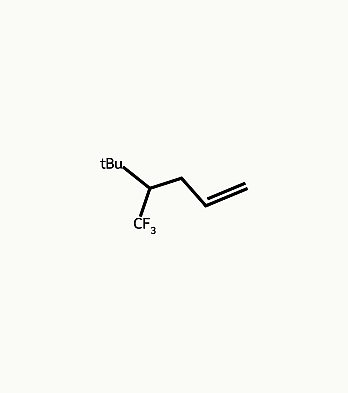 C=CCC(C(C)(C)C)C(F)(F)F